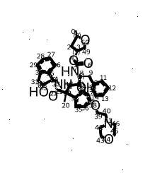 C[C@@H]1C[C@H](OC(=O)N[C@@H](Cc2ccccc2)[C@@H](O)C[C@@](C)(C(=O)N[C@H]2c3ccccc3C[C@H]2O)c2ccc(OCCN3CCOCC3)cc2)CO1